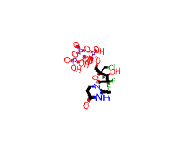 C=C1NC(=O)C=CN1[C@@H]1O[C@](CCl)(COP(=O)(O)OP(=O)(O)OP(=O)(O)O)[C@@H](O)C1(F)F